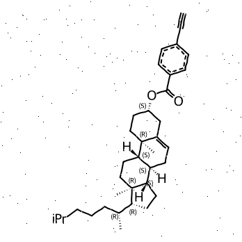 C#Cc1ccc(C(=O)O[C@H]2CC[C@@]3(C)C(=CC[C@H]4[C@@H]5CC[C@H]([C@H](C)CCCC(C)C)[C@@]5(C)CC[C@@H]43)C2)cc1